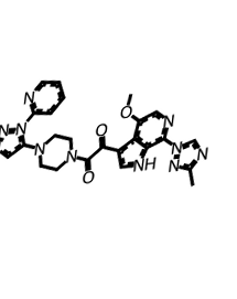 COc1cnc(-n2cnc(C)n2)c2[nH]cc(C(=O)C(=O)N3CCN(c4cnnn4-c4ccccn4)CC3)c12